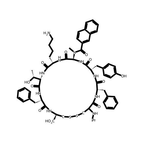 CC(C)NC1CSSC[C@@H](C(=O)O)NC(=O)[C@H](Cc2ccccc2)NC(=O)[C@H]([C@@H](C)O)NC(=O)[C@H](CCCCN)NC(=O)[C@@H](N(C)C(=O)c2ccc3ccccc3c2)NC(=O)[C@H](Cc2ccc(O)cc2)NC(=O)[C@H](Cc2ccccc2)NC1=O